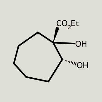 CCOC(=O)[C@]1(O)CCCCC[C@H]1O